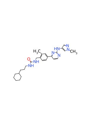 Cc1cc(-c2ccnc(Nc3cnn(C)c3)n2)ccc1CNC(=O)NCCCC1CCCCC1